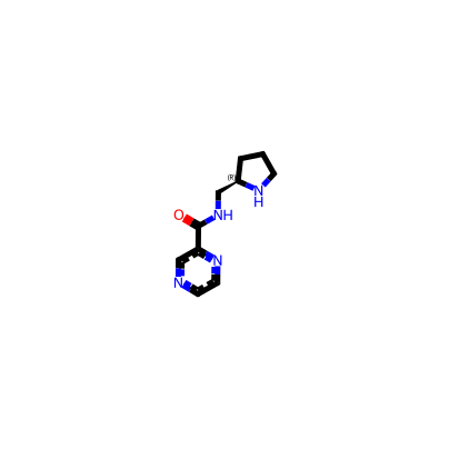 O=C(NC[C@H]1CCCN1)c1cnccn1